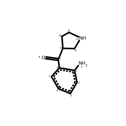 Nc1ccccc1C(=O)C1CCNC1